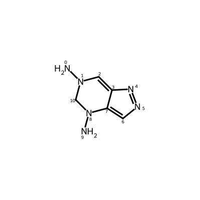 NN1C=C2N=NC=C2N(N)C1